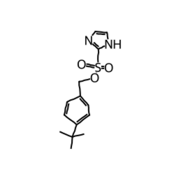 CC(C)(C)c1ccc(COS(=O)(=O)c2ncc[nH]2)cc1